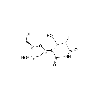 O=C1NC(=O)N([C@H]2C[C@H](O)[C@@H](CO)O2)C(O)C1F